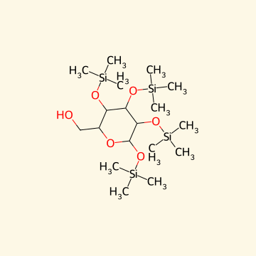 C[Si](C)(C)OC1OC(CO)C(O[Si](C)(C)C)C(O[Si](C)(C)C)C1O[Si](C)(C)C